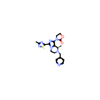 Cc1nsc(-c2nc(N3CCOC3=O)c3n2CCN(Cc2ccncc2)[C@@H]3C)n1